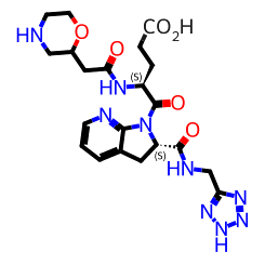 O=C(O)CC[C@H](NC(=O)CC1CNCCO1)C(=O)N1c2ncccc2C[C@H]1C(=O)NCc1nn[nH]n1